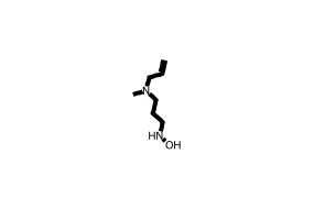 C=CCN(C)CCCNO